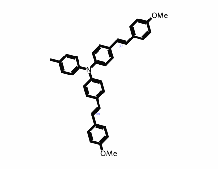 COc1ccc(/C=C/c2ccc(N(c3ccc(C)cc3)c3ccc(/C=C/c4ccc(OC)cc4)cc3)cc2)cc1